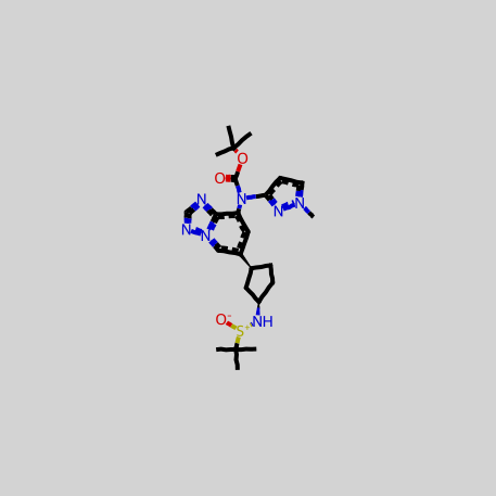 Cn1ccc(N(C(=O)OC(C)(C)C)c2cc([C@H]3CC[C@@H](N[S+]([O-])C(C)(C)C)C3)cn3ncnc23)n1